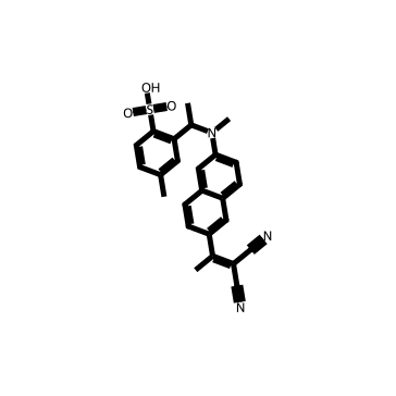 CC(=C(C#N)C#N)c1ccc2cc(N(C)C(C)c3cc(C)ccc3S(=O)(=O)O)ccc2c1